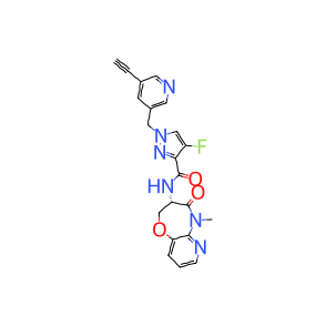 C#Cc1cncc(Cn2cc(F)c(C(=O)N[C@H]3COc4cccnc4N(C)C3=O)n2)c1